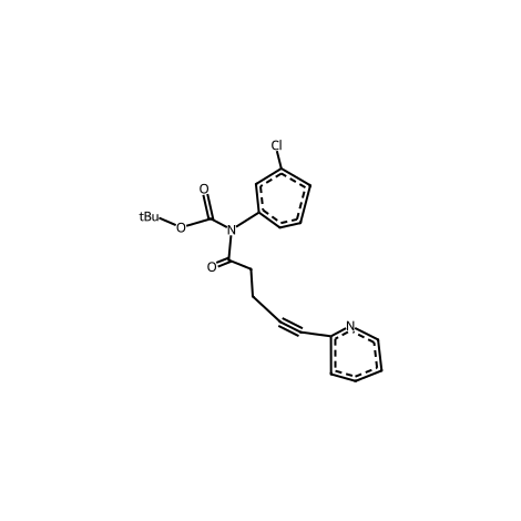 CC(C)(C)OC(=O)N(C(=O)CCC#Cc1ccccn1)c1cccc(Cl)c1